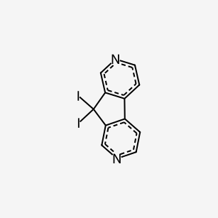 IC1(I)c2cnccc2-c2ccncc21